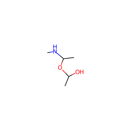 CNC(C)OC(C)O